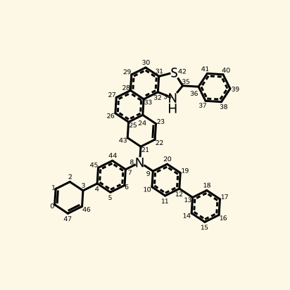 C1=CCC(c2ccc(N(c3ccc(-c4ccccc4)cc3)C3C=Cc4c(ccc5ccc6c(c45)NC(c4ccccc4)S6)C3)cc2)C=C1